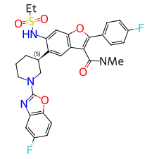 CCS(=O)(=O)Nc1cc2oc(-c3ccc(F)cc3)c(C(=O)NC)c2cc1[C@@H]1CCCN(c2nc3cc(F)ccc3o2)C1